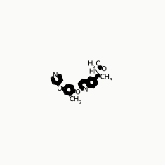 CC(=O)NC(C)c1ccc2nc(Oc3ccc(Oc4ccncc4)cc3C)ccc2c1